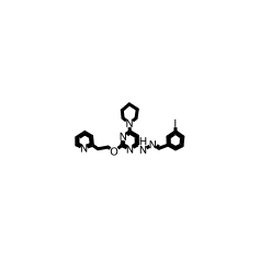 Ic1cccc(/C=N/Nc2cc(N3CCCCC3)nc(OCCc3ccccn3)n2)c1